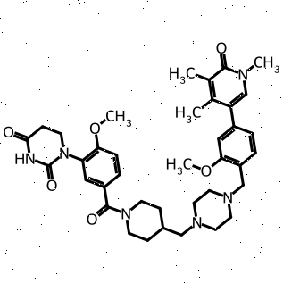 COc1cc(-c2cn(C)c(=O)c(C)c2C)ccc1CN1CCN(CC2CCN(C(=O)c3ccc(OC)c(N4CCC(=O)NC4=O)c3)CC2)CC1